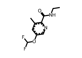 CCNC(=O)c1ncc(OC(F)F)cc1C